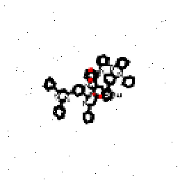 CC(C)(C)c1ccc2c(c1)c1ccccc1n2-c1ccc(-c2cc(-c3ccccc3)nc(-c3ccccc3)n2)cc1-c1nc(-c2ccccc2)cc(-c2cccc(-c3cc4c5c(c3)N(c3ccccc3)c3ccccc3B5c3ccccc3N4c3ccccc3)c2)n1